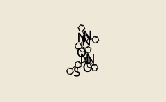 c1ccc(-c2nc(-c3ccccc3)nc(-c3cccc4oc5c(-c6nc(-c7ccc8c(c7)sc7ccccc78)c7oc8ccccc8c7n6)cccc5c34)n2)cc1